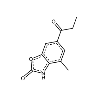 CCC(=O)c1cc(C)c2[nH]c(=O)oc2c1